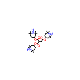 CC1(C)CCC(OC(=O)CC(C(=O)OC2CCC(C)(C)NC(C)(C)C2)C(=O)OC2CCC(C)(C)NC(C)(C)C2)CC(C)(C)N1